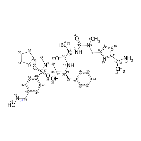 CC[C@H](C)[C@H](NC(=O)N(C)Cc1csc([C@H](C)N)n1)C(=O)N[C@@H](Cc1ccccc1)[C@H](O)CN(CC1CCCC1)S(=O)(=O)c1ccc(/C=N/O)cc1